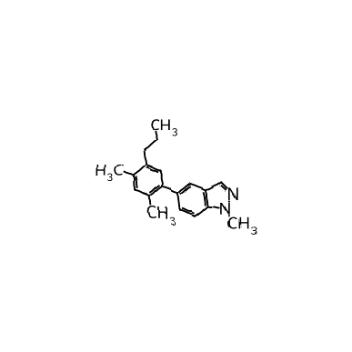 CCCc1cc(-c2ccc3c(cnn3C)c2)c(C)cc1C